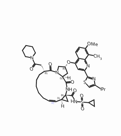 COc1ccc2c(O[C@@H]3C[C@H]4C(=O)N[C@]5(C(=O)NS(=O)(=O)C6CC6)C[C@H]5/C=C\CCCCC[C@H](CC(=O)N5CCCCC5)C(=O)N4C3)cc(-c3nc(C(C)C)cs3)nc2c1C